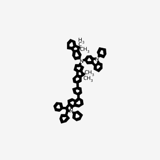 CC1(C)c2ccccc2-c2ccc(N(c3ccc4c(c3)C(C)(C)c3cc(-c5ccc(-c6cccc7c6ccc6c(-c8ccccc8)c(-c8ccccc8)n(-c8ccccc8)c67)cc5)ccc3-4)c3ccc4c(c3)c3ccccc3n4-c3ccccc3)cc21